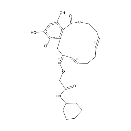 O=C(CO/N=C1\C=C\CC/C=C/CCOC(=O)c2c(O)cc(O)c(Cl)c2C1)NC1CCCCC1